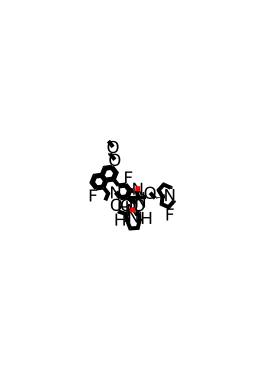 CCc1c(F)ccc2cc(OCOC)cc(-c3nc4c5c(nc(OC[C@]67CCCN6C[C@H](F)C7)nc5c3F)N3C[C@@H]5CC[C@H]([C@H]3CO4)N5C(=O)OC(C)(C)C)c12